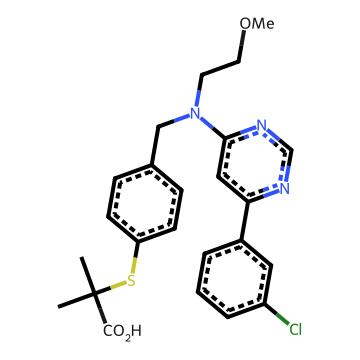 COCCN(Cc1ccc(SC(C)(C)C(=O)O)cc1)c1cc(-c2cccc(Cl)c2)ncn1